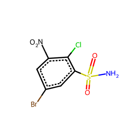 NS(=O)(=O)c1cc(Br)cc([N+](=O)[O-])c1Cl